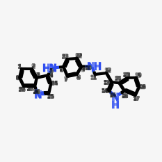 c1ccc2c(Nc3ccc(NCCc4c[nH]c5ccccc45)cc3)ccnc2c1